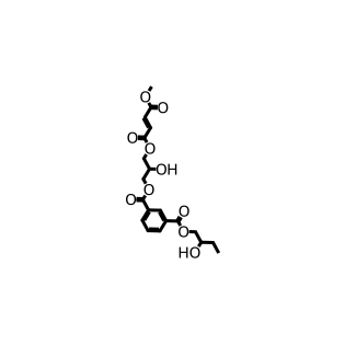 CCC(O)COC(=O)c1cccc(C(=O)OCC(O)COC(=O)/C=C/C(=O)OC)c1